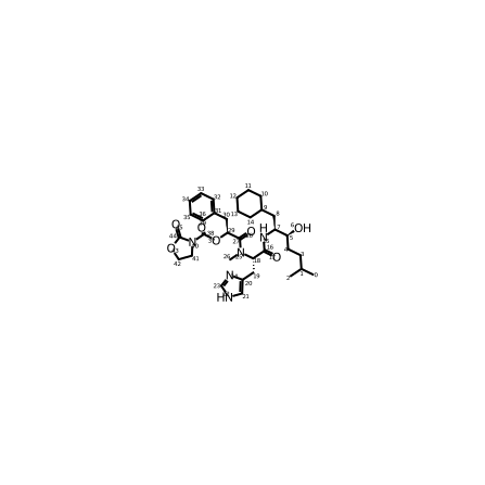 CC(C)CC[C@H](O)[C@H](CC1CCCCC1)NC(=O)[C@H](Cc1c[nH]cn1)N(C)C(=O)[C@H](Cc1ccccc1)OC(=O)N1CCOC1=O